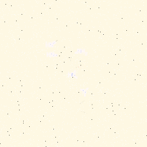 CC(=N)/C(C)=C1\C(=N)SC(C(=O)NC2CCN(c3ccccc3Cl)C2)=C1N